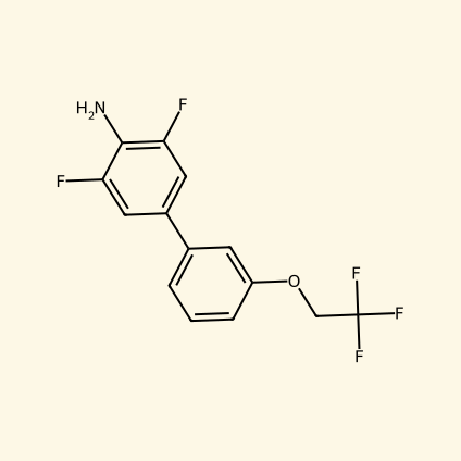 Nc1c(F)cc(-c2cccc(OCC(F)(F)F)c2)cc1F